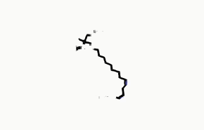 CCCCC/C=C\C/C=C\CCCCCCCCOCC1(COCCCCCCCC)COC(CC)=N1